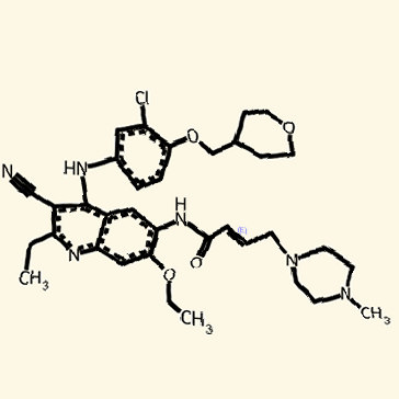 CCOc1cc2nc(CC)c(C#N)c(Nc3ccc(OCC4CCOCC4)c(Cl)c3)c2cc1NC(=O)/C=C/CN1CCN(C)CC1